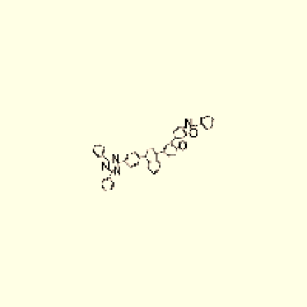 c1ccc(-c2nc(-c3ccccc3)nc(-c3ccc(-c4ccc(-c5ccc6oc7c(ccc8nc(-c9ccccc9)oc87)c6c5)c5ccccc45)cc3)n2)cc1